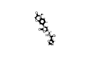 CN1C(=O)COc2cc(N3C[C@H](CNC(=O)c4cnco4)OC3=O)ccc21